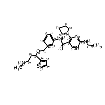 CCNc1ncc(C(=O)Nc2cccc(COC(CCNC)c3cccs3)c2)c(N2CCCC2)n1